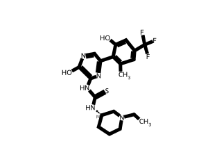 CCN1CCC[C@H](NC(=S)Nc2nc(-c3c(C)cc(C(F)(F)F)cc3O)cnc2O)C1